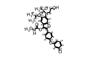 CNC(=O)Oc1c(-c2ccc(Oc3cccc(Cl)c3)cc2)oc2cc(N(CCO)S(C)(=O)=O)c(OC(C)C)cc12